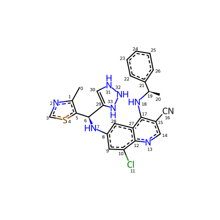 Cc1ncsc1[C@H](Nc1cc(Cl)c2ncc(C#N)c(N[C@H](C)c3ccccc3)c2c1)C1=CNNN1